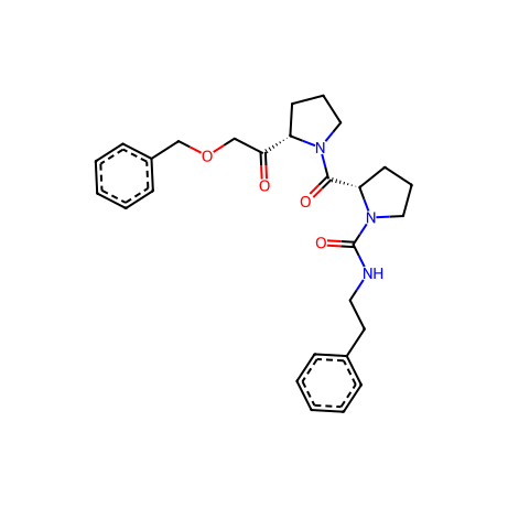 O=C(COCc1ccccc1)[C@@H]1CCCN1C(=O)[C@@H]1CCCN1C(=O)NCCc1ccccc1